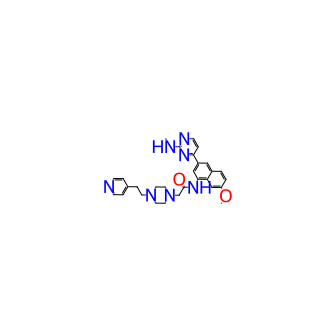 CNc1nccc(-c2cc(NC(=O)CN3CCN(CCc4ccncc4)CC3)c3cc(OC)ccc3c2)n1